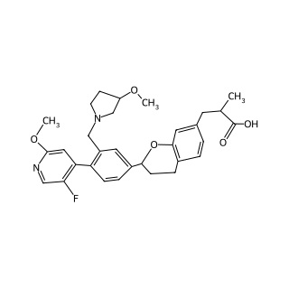 COc1cc(-c2ccc(C3CCc4ccc(CC(C)C(=O)O)cc4O3)cc2CN2CCC(OC)C2)c(F)cn1